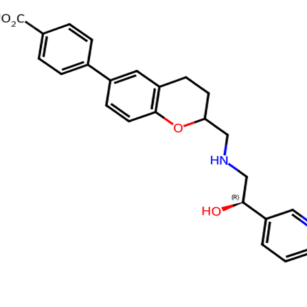 O=C(O)c1ccc(-c2ccc3c(c2)CCC(CNC[C@H](O)c2cccnc2)O3)cc1